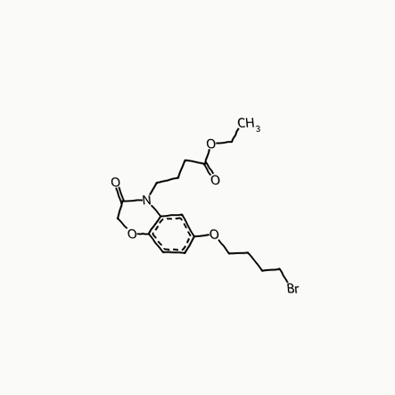 CCOC(=O)CCCN1C(=O)COc2ccc(OCCCCBr)cc21